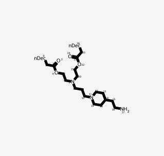 CCCCCCCCCCCC(=O)OCCN(CCCN1CCC(CCN)CC1)CCOC(=O)CCCCCCCCCCC